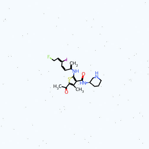 C=C(/C=C\C(I)=C/CF)Nc1sc(C(C)=O)c(C)c1C(=O)N[C@@H]1CCCNC1